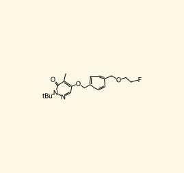 Cc1c(OCc2ccc(COCCF)cc2)cnn(C(C)(C)C)c1=O